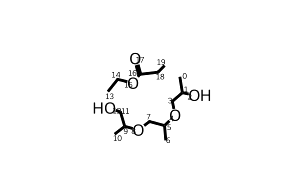 CC(O)COC(C)COC(C)CO.CCOC(=O)CC